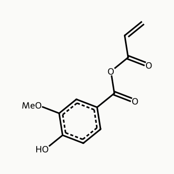 C=CC(=O)OC(=O)c1ccc(O)c(OC)c1